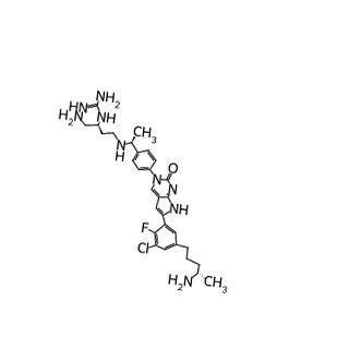 C[C@H](N)CCCc1cc(Cl)c(F)c(-c2cc3cn(-c4ccc([C@H](C)NCC[C@@H](CN)NC(=N)N)cc4)c(=O)nc3[nH]2)c1